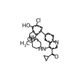 CC1(N)CCC(Nc2c(C(=O)C3CC3)cnc3ccc(-c4cc(Cl)c(O)c(CO)c4)cc23)CC1